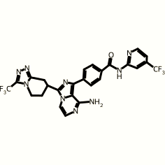 Nc1nccn2c(C3CCn4c(nnc4C(F)(F)F)C3)nc(-c3ccc(C(=O)Nc4cc(C(F)(F)F)ccn4)cc3)c12